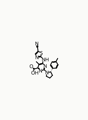 Cc1ccc([C@@H]2CCCN2c2nc(Nc3ncc(C#N)s3)c(C)c(C(=O)O)n2)cc1